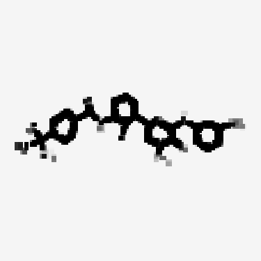 Cn1cc(-c2cccc(NC(=O)c3ccc(C(C)(C)C)cc3)c2F)nc(Nc2cccc(N)c2)c1=O